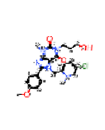 COc1ccc(-c2nc3c(c(=O)n(CCCO)c(=O)n3C)n2CC2=CC=C(Cl)CN2C)cc1